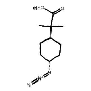 COC(=O)C(C)(C)[C@H]1CC[C@H](N=[N+]=[N-])CC1